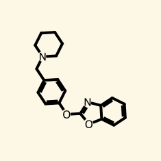 c1ccc2oc(Oc3ccc(CN4CCCCC4)cc3)nc2c1